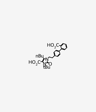 CCCCc1c(C(=O)O)n(C(C)(C)C)c(=O)n1CCc1ccc(-c2ccccc2C(=O)O)cc1